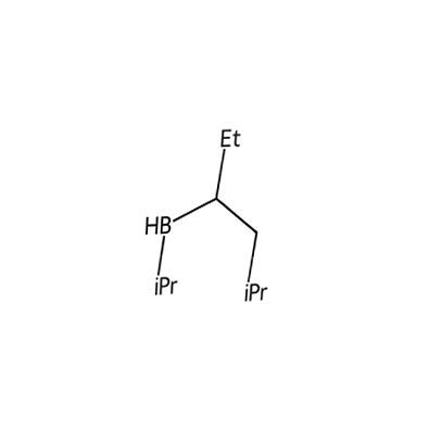 CCC(BC(C)C)CC(C)C